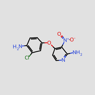 Nc1ccc(Oc2ccnc(N)c2[N+](=O)[O-])cc1Cl